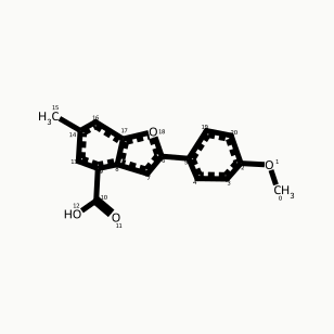 COc1ccc(-c2cc3c(C(=O)O)cc(C)cc3o2)cc1